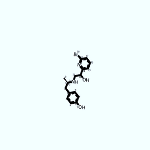 C[C@H](Cc1ccc(O)cc1)NCC(O)c1cccc(Br)n1